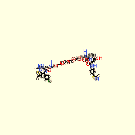 Cc1ncsc1-c1ccc(CNC(=O)[C@@H]2C[C@@H](O)CN2C(=O)C(NC(=O)COCCOCCOCCOCCOCCNC(=O)C[C@@H]2N=C(c3ccc(Cl)cc3)c3c(sc(C)c3C)-n3c(C)nnc32)C(C)(C)C)cc1